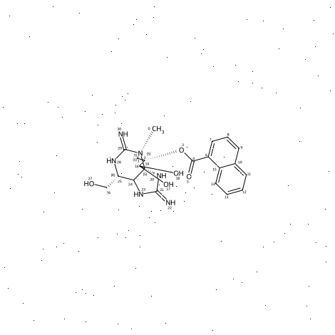 C[C@H]1[C@H](OC(=O)c2cccc3ccccc23)C(O)(O)[C@]23NC(=N)NC2[C@H](CO)NC(=N)N13